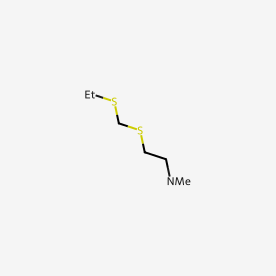 CCSCSCCNC